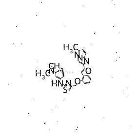 Cc1ccc2nc(-c3cc4c(OCc5csc(Nc6cccc(N(C)C)c6)n5)cccc4o3)cn2n1